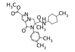 COC(=O)c1cc2n(n1)CC(C)(C(=O)NC1CCC(C)CC1)N(c1ccc(C)c(C)c1)C2=O